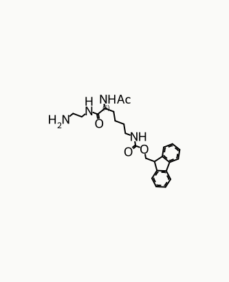 CC(=O)N[C@@H](CCCCNC(=O)OCC1c2ccccc2-c2ccccc21)C(=O)NCCN